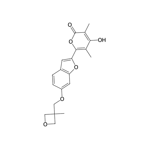 Cc1c(-c2cc3ccc(OCC4(C)COC4)cc3o2)oc(=O)c(C)c1O